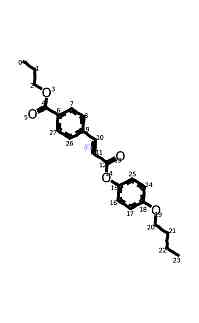 [CH2]CCOC(=O)c1ccc(/C=C/C(=O)Oc2ccc(OCCCC)cc2)cc1